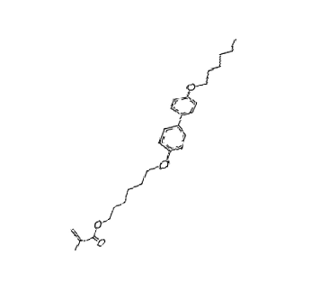 C=C(C)C(=O)OCCCCCCOc1ccc(-c2ccc(OCCCCCC)cc2)cc1